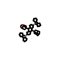 c1ccc2c(c1)c1ccccc1n2-c1ccc2c(C34CC5CC(CC(C5)C3)C4)c3cc(-n4c5ccccc5c5ccccc54)ccc3c(C34CC5CC(CC(C5)C3)C4)c2c1